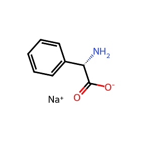 N[C@H](C(=O)[O-])c1ccccc1.[Na+]